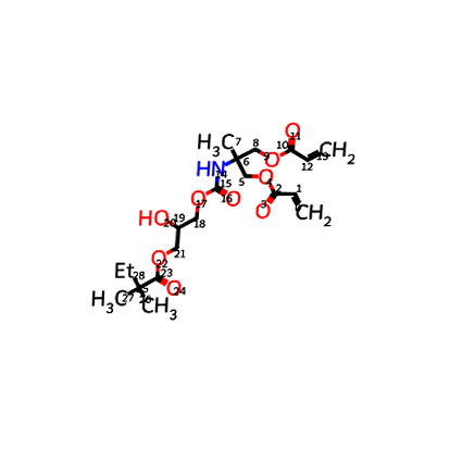 C=CC(=O)OCC(C)(COC(=O)C=C)NC(=O)OCC(O)COC(=O)C(C)(C)CC